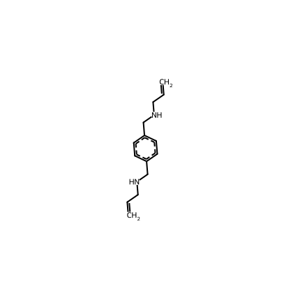 C=CCNCc1ccc(CNCC=C)cc1